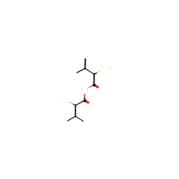 CC(C)C(S)C(=O)OC(=O)C(S)C(C)C